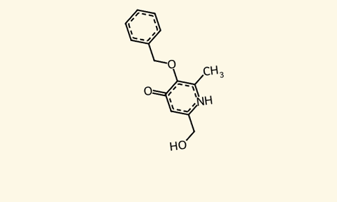 Cc1[nH]c(CO)cc(=O)c1OCc1ccccc1